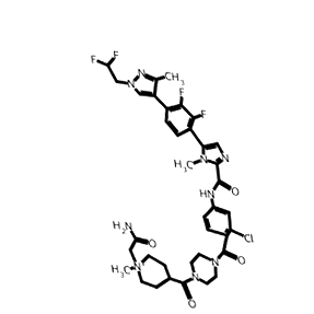 Cc1nn(CC(F)F)cc1-c1ccc(-c2cnc(C(=O)Nc3ccc(C(=O)N4CCN(C(=O)C5CC[N+](C)(CC(N)=O)CC5)CC4)c(Cl)c3)n2C)c(F)c1F